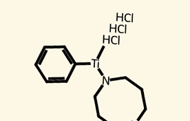 Cl.Cl.Cl.[CH3][Ti]([c]1ccccc1)[N]1CCCNCCC1